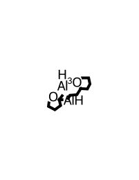 C[C]1([AlH][CH2]CC2CCCCO2)CCCCO1.[AlH3]